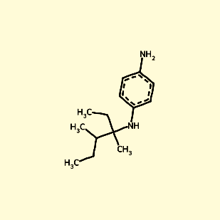 CCC(C)C(C)(CC)Nc1ccc(N)cc1